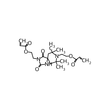 C=CC(=O)OCCN1C(=O)NC2(CC(C)(C)N(CCOC(=O)C=C)C(C)(C)C2)C1=O